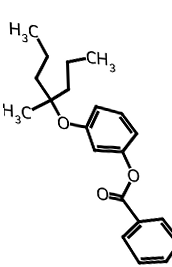 CCCC(C)(CCC)Oc1cccc(OC(=O)c2ccccc2)c1